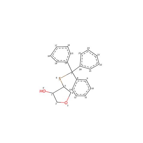 OC1COCC1SC(c1ccccc1)(c1ccccc1)c1ccccc1